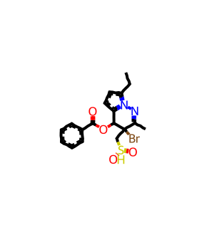 CCc1ccc2n1N=C(C)C(Br)(C[SH](=O)=O)C2OC(=O)c1ccccc1